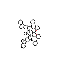 O=C1N2c3cc4oc5ccccc5c4cc3B(c3ccccc3-c3ccccc3)c3ccc4ccc5c(c4c32)N1c1cc2oc3ccccc3c2cc1B5c1ccccc1-c1ccccc1